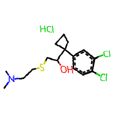 CN(C)CCSCC(O)C1(c2ccc(Cl)c(Cl)c2)CCC1.Cl